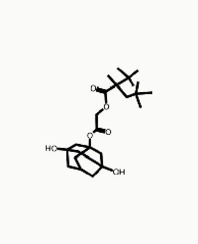 CC(C)(C)CC(C)(C(=O)OCC(=O)OC12CC3CC(O)(CC(O)(C3)C1)C2)C(C)(C)C